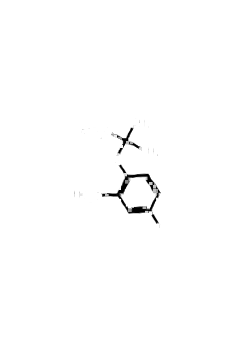 CCOC(=O)C(C)(C)Oc1ccc(F)cc1C(=O)O